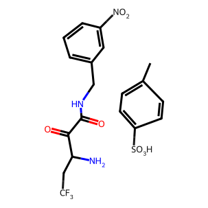 Cc1ccc(S(=O)(=O)O)cc1.NC(CC(F)(F)F)C(=O)C(=O)NCc1cccc([N+](=O)[O-])c1